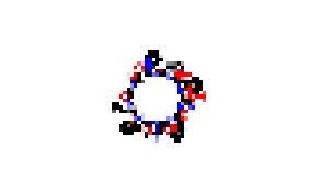 CC(C)C[C@@H]1NC(=O)[C@H](Cc2ccccc2)N(C)C(=O)[C@H](CC(C)C)N(C)C(=O)[C@@H](C)N(C)C(=O)C[C@@H](C(=O)N2CCCCC2)NC(=O)[C@H](CC(C)C)N(C)C(O)[C@H](Cc2ccccc2)N(C)C(=O)[C@H]([C@@H](C)O)NC(=O)[C@H](Cc2ccccc2)N(C)C1=O